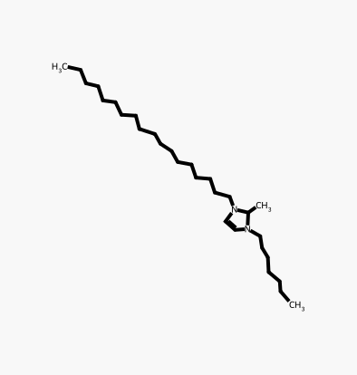 CCCCCCCCCCCCCCCCCCN1C=CN(CCCCCCC)C1C